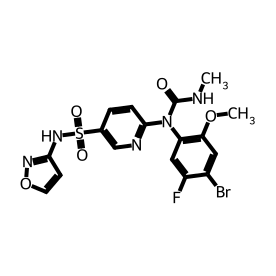 CNC(=O)N(c1ccc(S(=O)(=O)Nc2ccon2)cn1)c1cc(F)c(Br)cc1OC